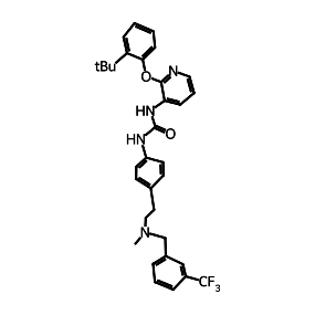 CN(CCc1ccc(NC(=O)Nc2cccnc2Oc2ccccc2C(C)(C)C)cc1)Cc1cccc(C(F)(F)F)c1